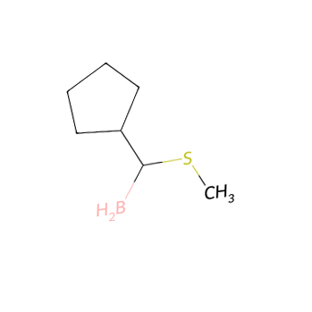 BC(SC)C1CCCC1